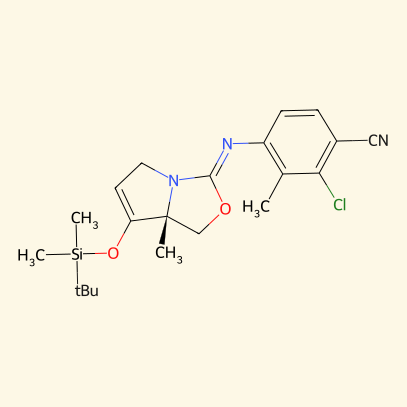 Cc1c(/N=C2\OC[C@]3(C)C(O[Si](C)(C)C(C)(C)C)=CCN23)ccc(C#N)c1Cl